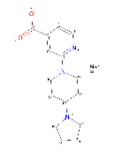 O=C([O-])c1ccnc(N2CCC(N3CCCC3)CC2)c1.[Na+]